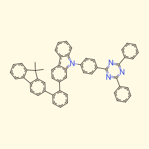 CC1(C)c2ccccc2-c2ccc(-c3ccccc3-c3ccc4c5ccccc5n(-c5ccc(-c6nc(-c7ccccc7)nc(-c7ccccc7)n6)cc5)c4c3)cc21